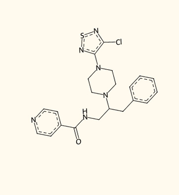 O=C(NCC(Cc1ccccc1)N1CCN(c2nsnc2Cl)CC1)c1ccncc1